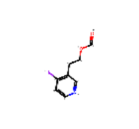 O=[C]OCCc1cnccc1I